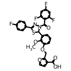 COc1c(OCc2occc2C(=O)O)cccc1C1SC(c2ccc(F)cc2)=NN1C(=O)c1c(F)cc(F)cc1F